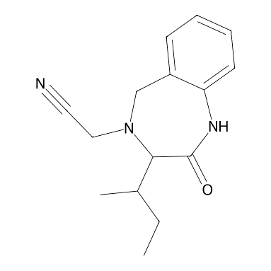 CCC(C)C1C(=O)Nc2ccccc2CN1CC#N